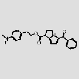 CN(C)c1ccc(CCOC(=O)C2CCn3c(C(=O)c4ccccc4)ccc32)cc1